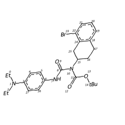 CCN(CC)c1ccc(NC(=O)N(C(=O)OC(C)(C)C)C2CCc3cccc(Br)c3C2)cc1